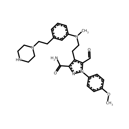 COc1ccc(-n2nc(C(N)=O)c(CCN(C)c3cccc(CCN4CCNCC4)c3)c2C=O)cc1